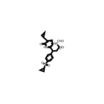 CC[C@H](CC(c1ccc(S(=O)(=O)C2CC2)cc1)c1ccc(C2CC2)c(=O)[nH]1)NC=O